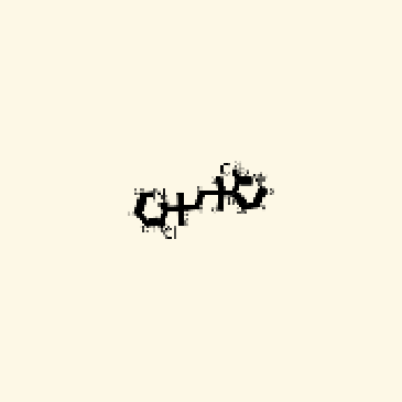 CC(C)(CCC(C)(C)c1ncccc1Cl)c1cccnc1Cl